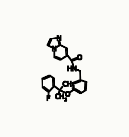 CC(C)(Oc1cccc(CNC(=O)c2ccn3ccnc3c2)c1)c1ccccc1F